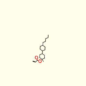 C=CC(=O)OC1(C)CCC(C2CCC(CCCCC)CC2)CC1